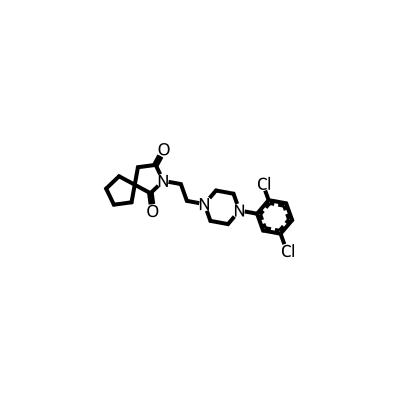 O=C1CC2(CCCC2)C(=O)N1CCN1CCN(c2cc(Cl)ccc2Cl)CC1